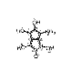 Nc1c(O)n(O)c2c(O)[n+]([O-])n(O)c12